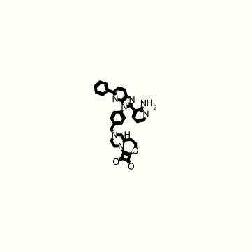 Nc1ncccc1-c1nc2ccc(-c3ccccc3)nc2n1-c1ccc(CN2CCN3c4c(c(=O)c4=O)OCC[C@H]3C2)cc1